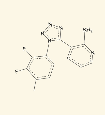 Cc1ccc(-n2nnnc2-c2cccnc2N)c(F)c1F